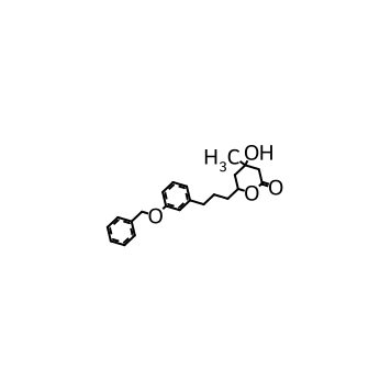 CC1(O)CC(=O)OC(CCCc2cccc(OCc3ccccc3)c2)C1